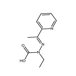 CCN(N=C(C)c1ccccn1)C(=O)O